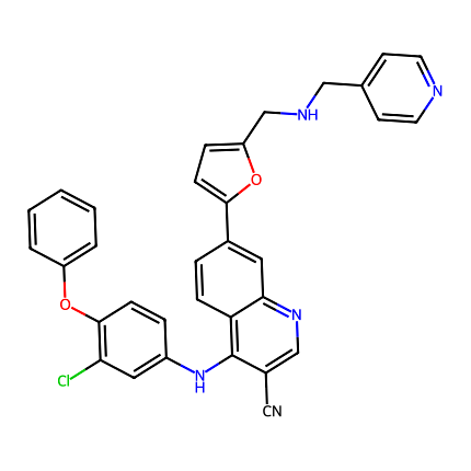 N#Cc1cnc2cc(-c3ccc(CNCc4ccncc4)o3)ccc2c1Nc1ccc(Oc2ccccc2)c(Cl)c1